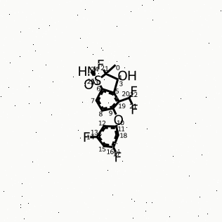 CC1(F)C(O)c2c(ccc(Oc3cc(F)cc(F)c3)c2C(F)F)S1(=N)=O